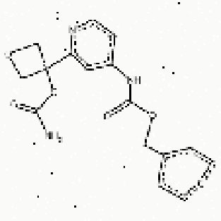 NC(=O)OC1(c2cc(NC(=O)OCc3ccccc3)ccn2)COC1